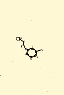 [CH2]c1cccc(OCCl)c1